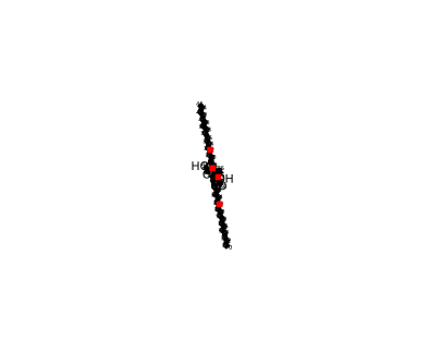 CCCCCCCCCCCCCCCCCCN(CC(C)(C)C(C(C)C)N(CCCCCCCCCCCCCCCCCC)C(=O)O)C(=O)O